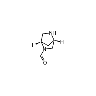 O=[C]N1C[C@@H]2C[C@H]1CN2